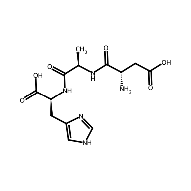 C[C@@H](NC(=O)[C@@H](N)CC(=O)O)C(=O)N[C@@H](Cc1c[nH]cn1)C(=O)O